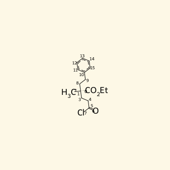 CCOC(=O)[C@@](C)(CCC(=O)Cl)CCc1ccccc1